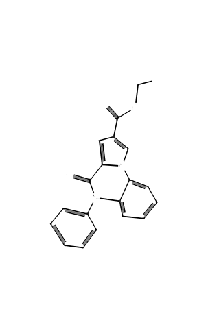 CCOC(=O)c1cc2c(=O)n(-c3ccccc3)c3ccccc3n2c1